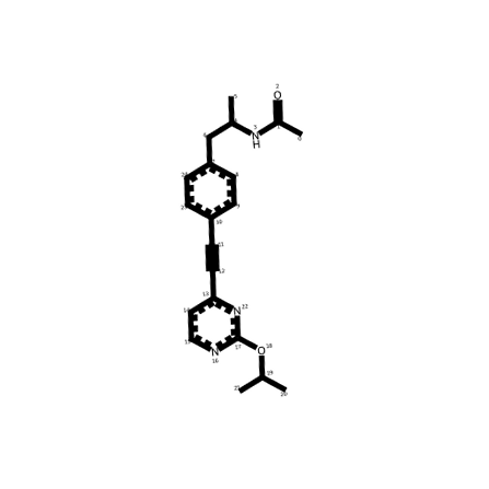 CC(=O)NC(C)Cc1ccc(C#Cc2ccnc(OC(C)C)n2)cc1